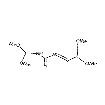 COC(C=NC(=O)NC(OC)OC)OC